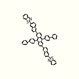 c1ccc(-c2ccc(-c3c4ccc(-c5ccc6cc(-c7nc8ccccc8s7)ccc6c5)cc4c(-c4ccc(-c5ccccc5)cc4)c4ccc(-c5ccc6cc(-c7nc8ccccc8s7)ccc6c5)cc34)cc2)cc1